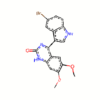 COc1cc2[nH]c(=O)nc(-c3c[nH]c4ccc(Br)cc34)c2cc1OC